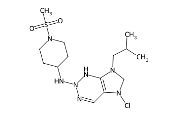 CC(C)CN1CN(Cl)C2=C1NN(NC1CCN(S(C)(=O)=O)CC1)N=C2